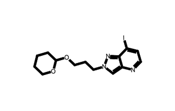 Ic1ccnc2cn(CCCOC3CCCCO3)nc12